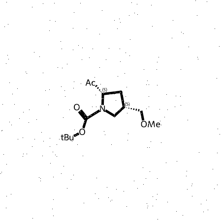 COC[C@H]1C[C@@H](C(C)=O)N(C(=O)OC(C)(C)C)C1